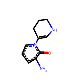 Nc1cccn(C2=CNCCC2)c1=O